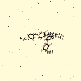 COc1ccc(CC2C=CC(Nc3cc([C@H]4CC[C@@H](O)C4)nn3C(C)(C)C)=CC2)cc1